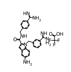 N=C(N)c1ccc(CNC(=O)c2cc3cc(N)ccc3n2Cc2cccc(C(=N)N)c2)cc1.O=C(O)C(F)(F)F